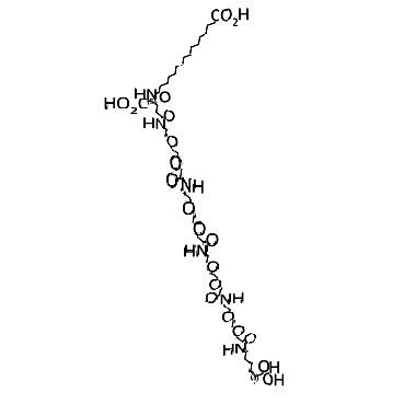 C[C@@H](CCCCNC(=O)COCCOCCNC(=O)COCCOCCNC(=O)COCCOCCNC(=O)COCCOCCNC(=O)CC[C@H](NC(=O)CCCCCCCCCCCCCCC(=O)O)C(=O)O)C(O)O